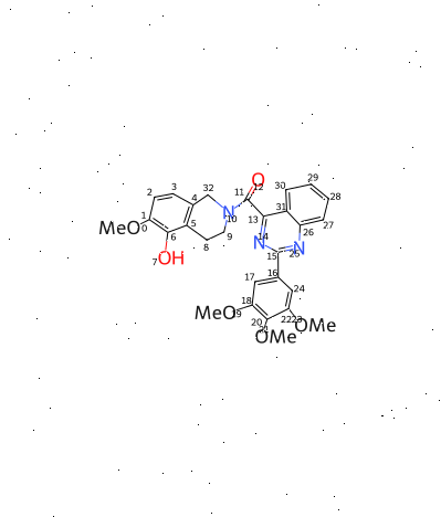 COc1ccc2c(c1O)CCN(C(=O)c1nc(-c3cc(OC)c(OC)c(OC)c3)nc3ccccc13)C2